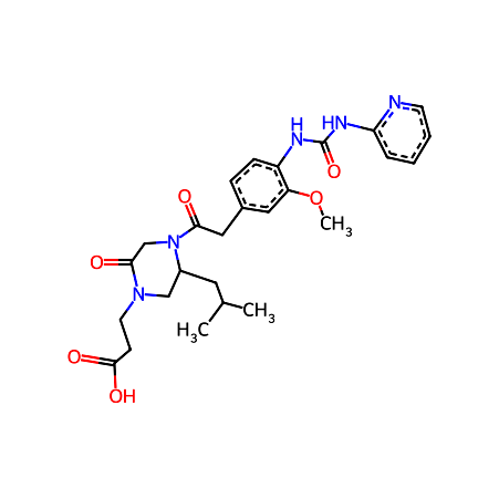 COc1cc(CC(=O)N2CC(=O)N(CCC(=O)O)CC2CC(C)C)ccc1NC(=O)Nc1ccccn1